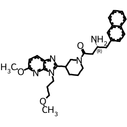 COCCCn1c(C2CCCN(C(=O)C[C@H](N)Cc3ccc4ccccc4c3)C2)nc2ccc(OC)nc21